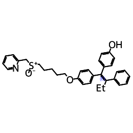 CC/C(=C(/c1ccc(O)cc1)c1ccc(OCCCCC[S+]([O-])Cc2ccccn2)cc1)c1ccccc1